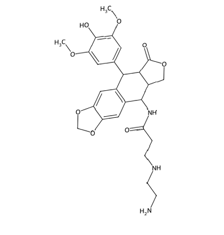 COc1cc(C2c3cc4c(cc3C(NC(=O)CCNCCN)C3COC(=O)C23)OCO4)cc(OC)c1O